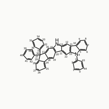 c1ccc(-n2c3ccccc3c3cc4[nH]c5cc6c(cc5c4cc32)-c2ccccc2C6(c2ccccc2)c2ccccc2)cc1